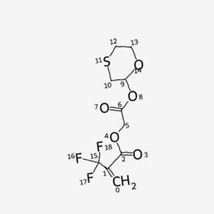 C=C(C(=O)OCC(=O)OC1CSCCO1)C(F)(F)F